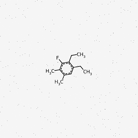 CCc1cc(C)c(C)c(F)c1CC